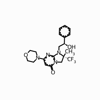 C[C@@]1(C(F)(F)F)Cn2c(nc(N3CCOCC3)cc2=O)N1C[C@H](O)c1ccccc1